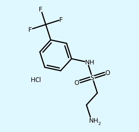 Cl.NCCS(=O)(=O)Nc1cccc(C(F)(F)F)c1